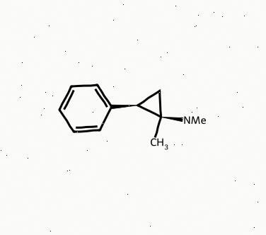 CN[C@]1(C)C[C@@H]1c1ccccc1